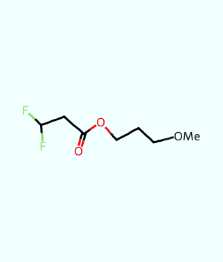 COCCCOC(=O)CC(F)F